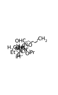 C=C/C=C\C=C\C[C@@H](C=O)N(C)C(=O)[C@H](CC(C)C)N(C)C(=O)[C@H](CC(C)C)NC(=O)[C@H](CC)N(C)C